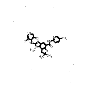 Cc1ccc(NC(=O)c2cc3nc(Nc4c(Cl)cncc4Cl)n(C)c3c3c2OC(C)(C)C3)nc1